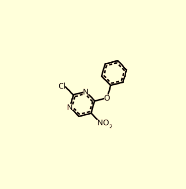 O=[N+]([O-])c1cnc(Cl)nc1Oc1ccccc1